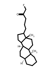 CC12CCC3[C@@H](CC[C@@H]4CCCC[C@]34C)C1CCC2CCCC(=O)CF